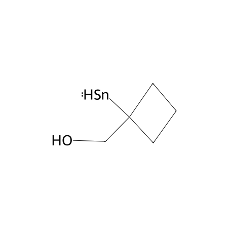 OC[C]1([SnH])CCC1